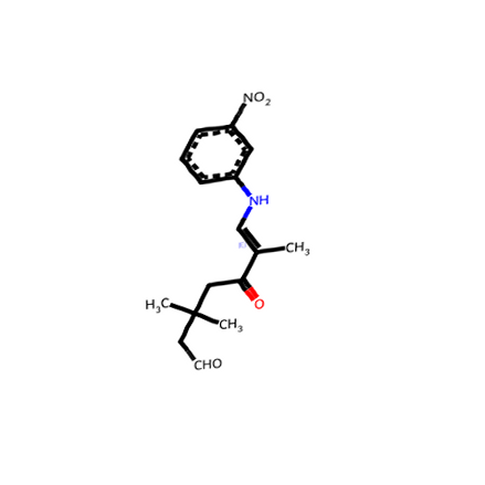 C/C(=C\Nc1cccc([N+](=O)[O-])c1)C(=O)CC(C)(C)CC=O